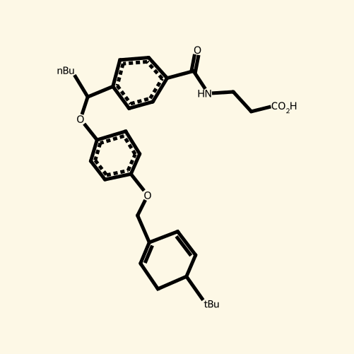 CCCCC(Oc1ccc(OCC2=CCC(C(C)(C)C)C=C2)cc1)c1ccc(C(=O)NCCC(=O)O)cc1